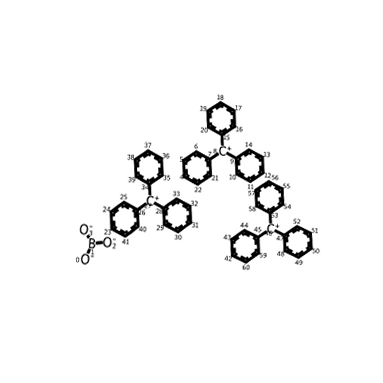 [O-]B([O-])[O-].c1ccc([C+](c2ccccc2)c2ccccc2)cc1.c1ccc([C+](c2ccccc2)c2ccccc2)cc1.c1ccc([C+](c2ccccc2)c2ccccc2)cc1